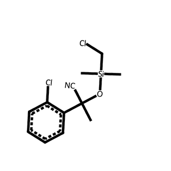 CC(C#N)(O[Si](C)(C)CCl)c1ccccc1Cl